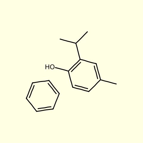 Cc1ccc(O)c(C(C)C)c1.c1ccccc1